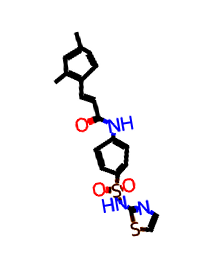 Cc1ccc(/C=C/C(=O)Nc2ccc(S(=O)(=O)Nc3nccs3)cc2)c(C)c1